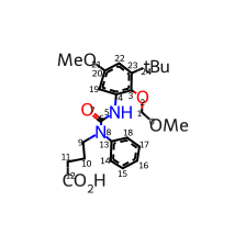 COCOc1c(NC(=O)N(CCCC(=O)O)c2ccccc2)cc(OC)cc1C(C)(C)C